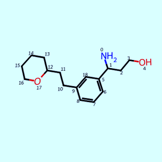 NC(CCO)c1cccc(CCC2CCCCO2)c1